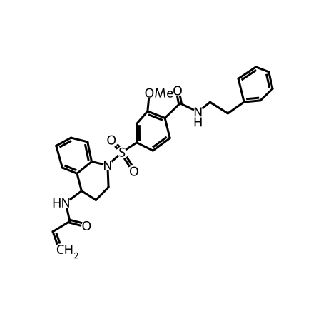 C=CC(=O)NC1CCN(S(=O)(=O)c2ccc(C(=O)NCCc3ccccc3)c(OC)c2)c2ccccc21